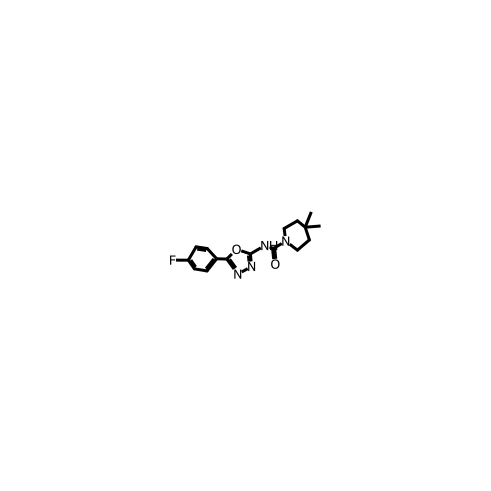 CC1(C)CCN(C(=O)Nc2nnc(-c3ccc(F)cc3)o2)CC1